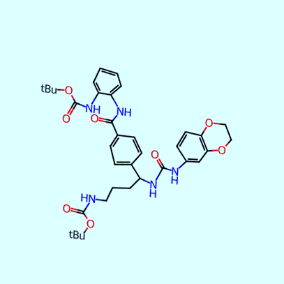 CC(C)(C)OC(=O)NCCCC(NC(=O)Nc1ccc2c(c1)OCCO2)c1ccc(C(=O)Nc2ccccc2NC(=O)OC(C)(C)C)cc1